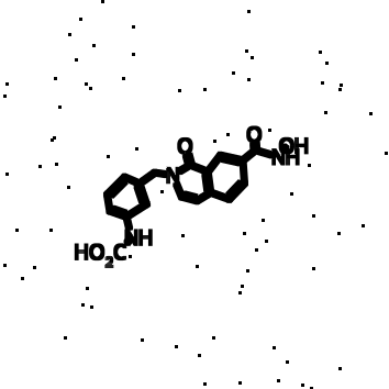 O=C(O)Nc1cccc(Cn2ccc3ccc(C(=O)NO)cc3c2=O)c1